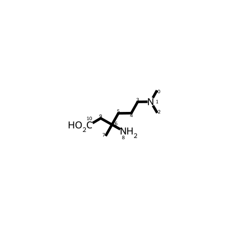 CN(C)CCCC(C)(N)CC(=O)O